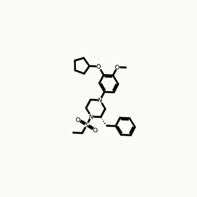 CCS(=O)(=O)N1CCN(c2ccc(OC)c(OC3CCCC3)c2)C[C@@H]1Cc1ccccc1